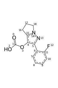 O=C(O)Oc1c(-c2ccccc2F)nn2c1CCC2